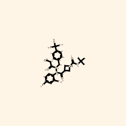 CC(C)(C)OC(=O)[SiH]1CC(C(=O)N(c2ccc(F)cc2F)N(Cc2ccc(C(F)(F)F)cc2)C(=O)CCl)C1